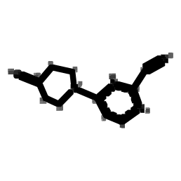 N#Cc1nccc(N2CCC(=O)CC2)n1